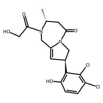 C[C@@H]1CC(=O)N2C[C@@H](c3c(O)ccc(Cl)c3Cl)C=C2CN1C(=O)CO